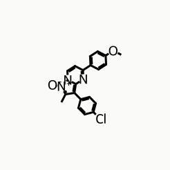 COc1ccc(-c2ccn3c(n2)c(-c2ccc(Cl)cc2)c(C)[n+]3[O-])cc1